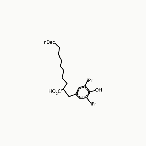 CCCCCCCCCCCCCCCCCC(Cc1cc(C(C)C)c(O)c(C(C)C)c1)C(=O)O